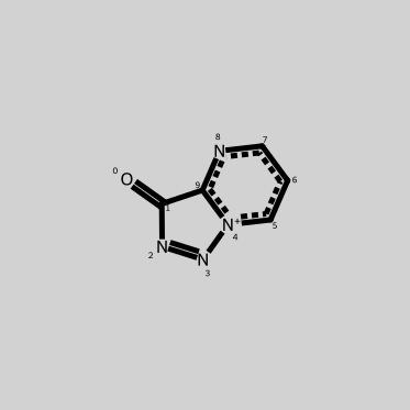 O=C1N=N[n+]2cccnc21